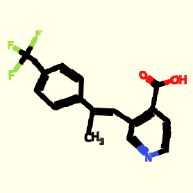 CC(=Cc1cnccc1C(=O)O)c1ccc(C(F)(F)F)cc1